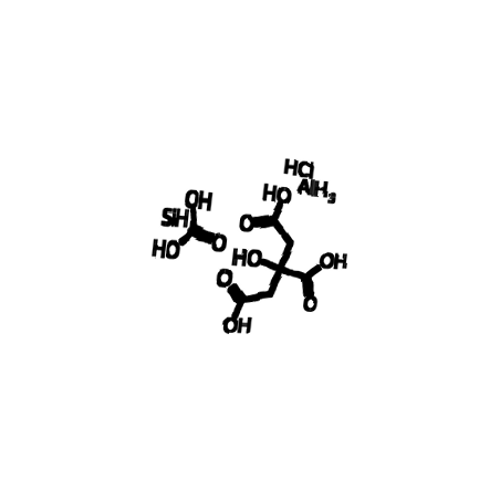 Cl.O=C(O)CC(O)(CC(=O)O)C(=O)O.O=C(O)O.[AlH3].[SiH4]